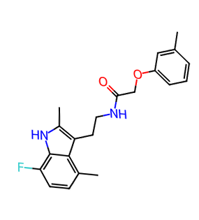 Cc1cccc(OCC(=O)NCCc2c(C)[nH]c3c(F)ccc(C)c23)c1